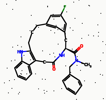 CN(Cc1ccccc1)C(=O)[C@@H]1Cc2cc(F)cc(c2)CCCc2[nH]c3ccccc3c2CC(=O)N1